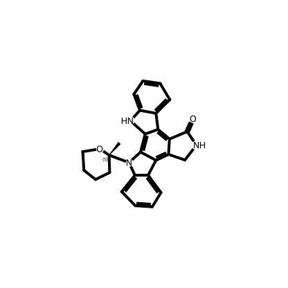 C[C@@]1(n2c3ccccc3c3c4c(c5c6ccccc6[nH]c5c32)C(=O)NC4)CCCCO1